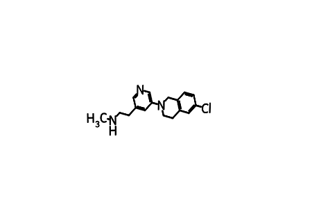 CNCCc1cncc(N2CCc3cc(Cl)ccc3C2)c1